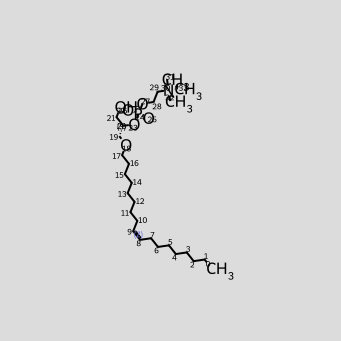 CCCCCCCC/C=C\CCCCCCCCOC[C@H](CO)OP(=O)([O-])OCC[N+](C)(C)C